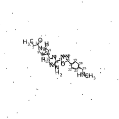 CCC(=O)N1C[C@H]2C[C@H]1CC2c1cnc(N)c(-c2nnc(-c3ccc(CNC)cc3)o2)n1